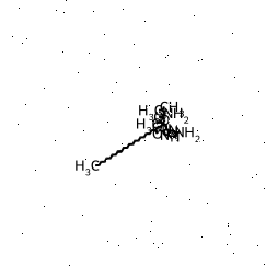 CCCCCCCCC=CCCCCCCCCCCCC(=O)OCC(CC)(Cn1cnc2cnc(N)nc21)OC(=O)[C@@H](N)C(C)C